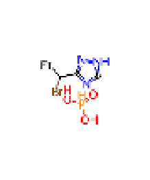 CCC(Br)c1nc[nH]n1.O=[PH](O)O